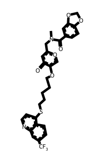 CN(Cc1cc(=O)c(OCCCCCSc2ccnc3cc(C(F)(F)F)ccc23)co1)C(=O)c1ccc2c(c1)OCO2